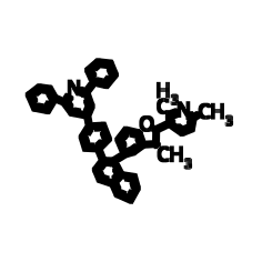 Cc1ccc(C2Oc3ccc(-c4c(-c5ccc(-c6cc(-c7ccccc7)nc(-c7ccccc7)c6)cc5)ccc5ccccc45)cc3C2C)c(C)n1